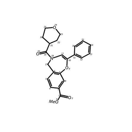 COC(=O)c1ccc2c(c1)OC(c1ccccc1)=CN(C(=O)C1CCOCC1)C2